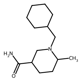 CC1CCC(C(N)=O)CN1CC1CCCCC1